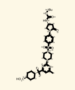 Cc1cc(C(F)(F)[C@H]2CC[C@H](C(=O)O)CC2)nc(N2CCN(S(=O)(=O)c3ccc(N4C[C@H](NC(=O)OC(C)(C)C)CC4=O)cc3)CC2)n1